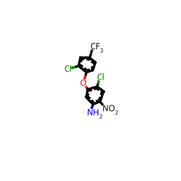 Nc1cc(Oc2ccc(C(F)(F)F)cc2Cl)c(Cl)cc1[N+](=O)[O-]